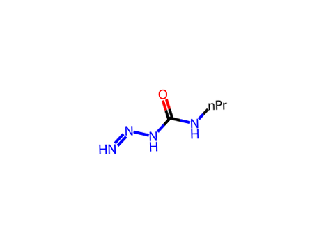 CCCNC(=O)NN=N